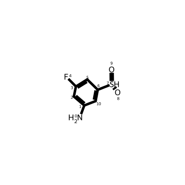 Nc1cc(F)cc([SH](=O)=O)c1